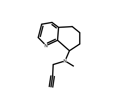 C#CCN(C)C1CCCc2cccnc21